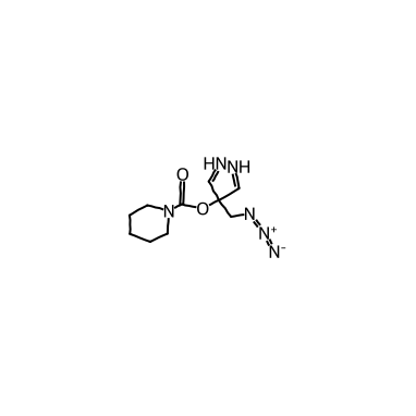 [N-]=[N+]=NCC(C=N)(C=N)OC(=O)N1CCCCC1